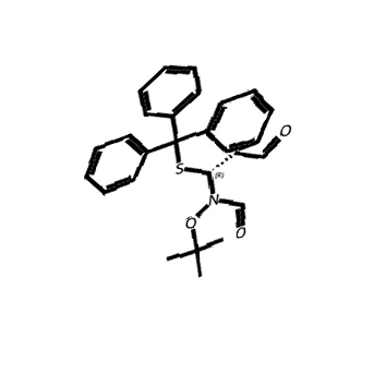 CC(C)(C)ON(C=O)[C@@H](CC=O)SC(c1ccccc1)(c1ccccc1)c1ccccc1